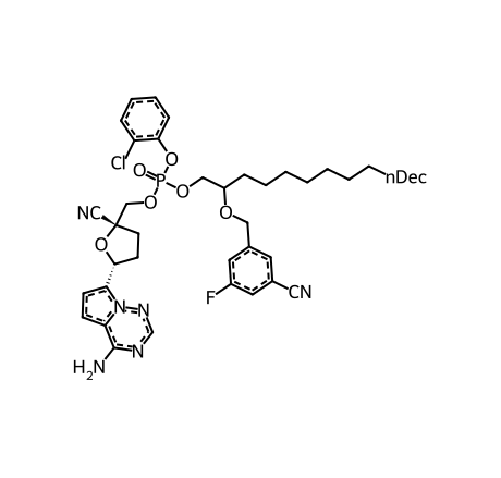 CCCCCCCCCCCCCCCCCC(COP(=O)(OC[C@]1(C#N)CC[C@H](c2ccc3c(N)ncnn23)O1)Oc1ccccc1Cl)OCc1cc(F)cc(C#N)c1